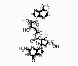 C[C@@H](OP(=O)(O)O[C@@]1(n2cnc3c(=O)[nH]c(N)nc32)CO[C@H](CO)C1)[C@H]1O[C@@H](n2cnc3c(N)ncnc32)[C@H](O)[C@@H]1O